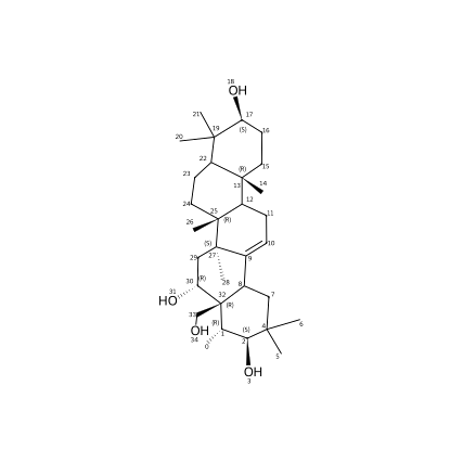 C[C@H]1[C@H](O)C(C)(C)CC2C3=CCC4[C@@]5(C)CC[C@H](O)C(C)(C)C5CC[C@@]4(C)[C@]3(C)C[C@@H](O)[C@]21CO